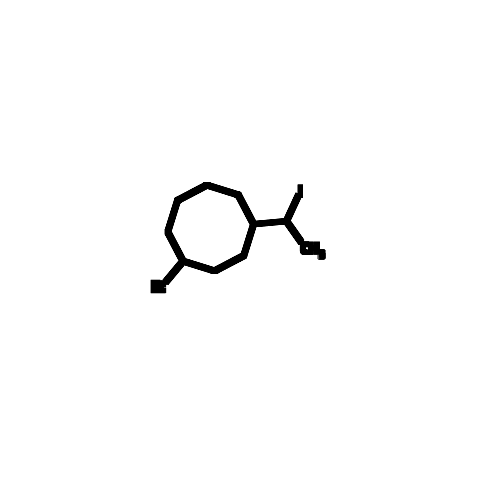 CCC1CCCCC(C(C)I)CC1